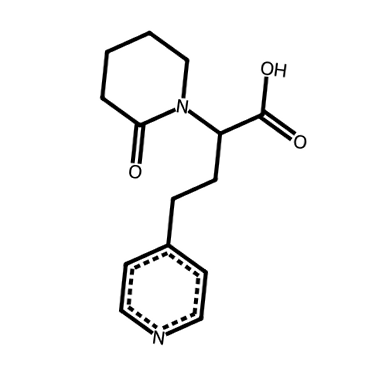 O=C(O)C(CCc1ccncc1)N1CCCCC1=O